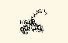 C=CCCCCCCC(NC(=O)NCc1ccc(F)cc1)C(O)c1ccc2c(c1)OCCO2